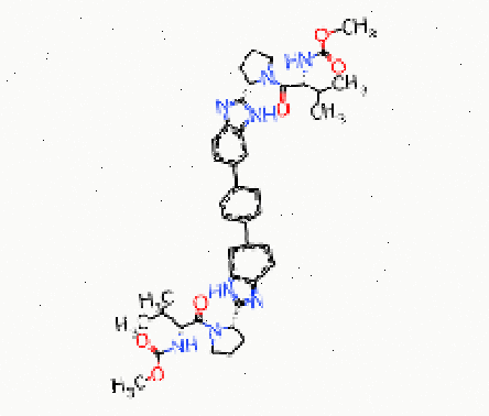 COC(=O)N[C@@H](C(=O)N1CCC[C@H]1c1nc2ccc(-c3ccc(-c4ccc5nc([C@@H]6CCCN6C(=O)[C@H](NC(=O)OC)C(C)C)[nH]c5c4)cc3)cc2[nH]1)C(C)C